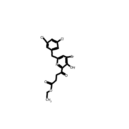 CCOC(=O)CCC(=O)c1nc(Cc2cc(Cl)cc(Cl)c2)cc(Br)c1O